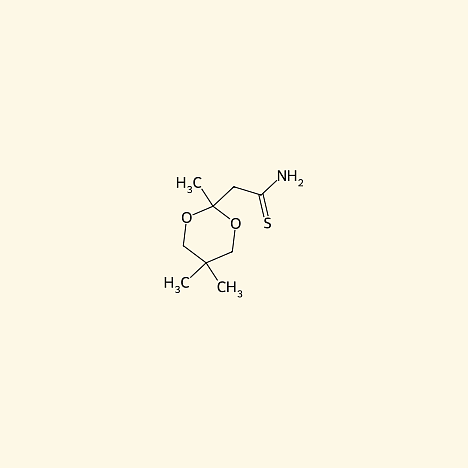 CC1(C)COC(C)(CC(N)=S)OC1